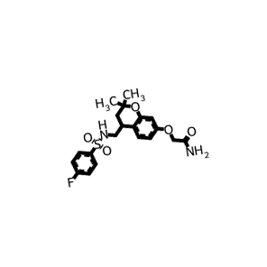 CC1(C)CC(CNS(=O)(=O)c2ccc(F)cc2)c2ccc(OCC(N)=O)cc2O1